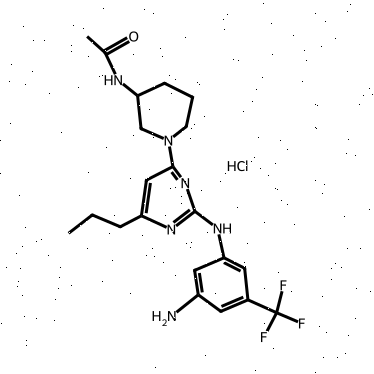 CCCc1cc(N2CCCC(NC(C)=O)C2)nc(Nc2cc(N)cc(C(F)(F)F)c2)n1.Cl